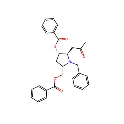 CC(=O)C[C@@H]1[C@@H](OC(=O)c2ccccc2)C[C@@H](COC(=O)c2ccccc2)N1Cc1ccccc1